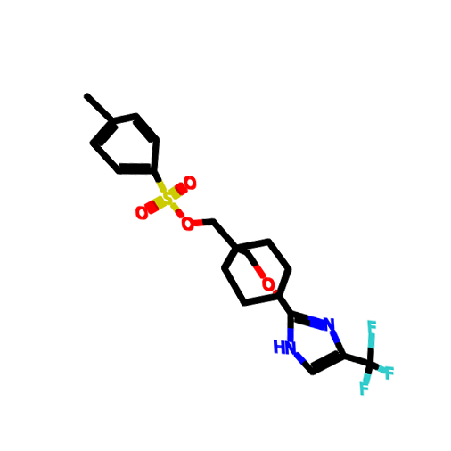 Cc1ccc(S(=O)(=O)OCC23CCC(c4nc(C(F)(F)F)c[nH]4)(CC2)OC3)cc1